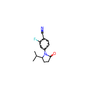 CC(C)C1CCC(=O)N1c1ccc(C#N)c(F)c1